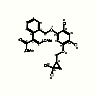 CO/C=C(/C(=O)OC)c1ccccc1COc1cc(OCC2CC2(Cl)Cl)c(Cl)cc1Cl